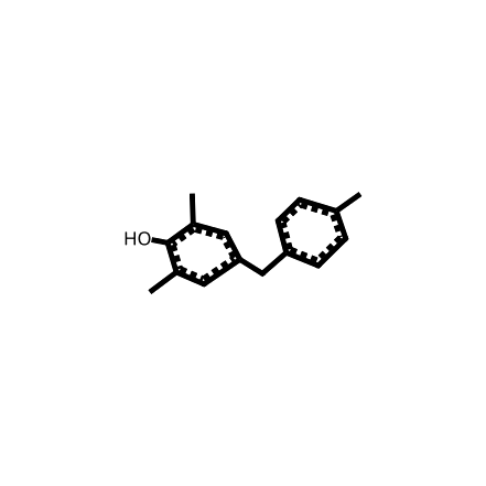 Cc1ccc(Cc2cc(C)c(O)c(C)c2)cc1